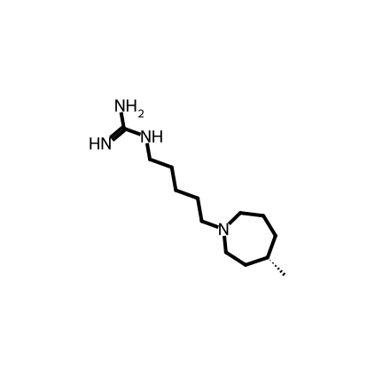 C[C@H]1CCCN(CCCCCNC(=N)N)CC1